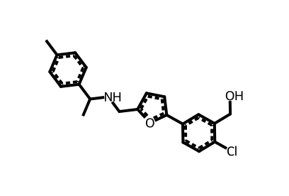 Cc1ccc(C(C)NCc2ccc(-c3ccc(Cl)c(CO)c3)o2)cc1